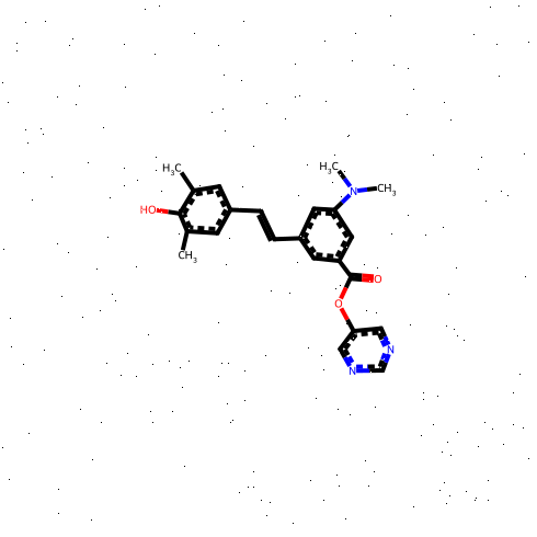 Cc1cc(/C=C/c2cc(C(=O)Oc3cncnc3)cc(N(C)C)c2)cc(C)c1O